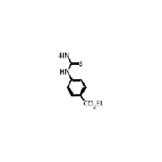 CCOC(=O)c1ccc(NC([NH])=S)cc1